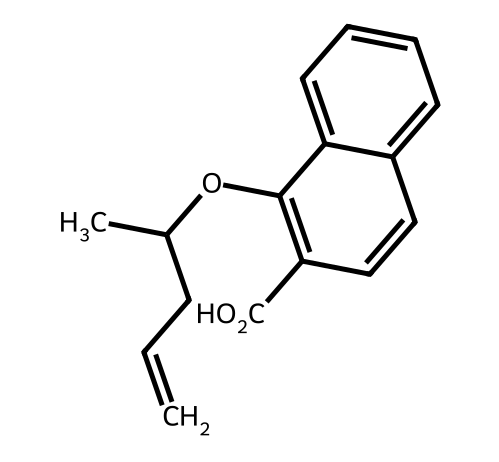 C=CCC(C)Oc1c(C(=O)O)ccc2ccccc12